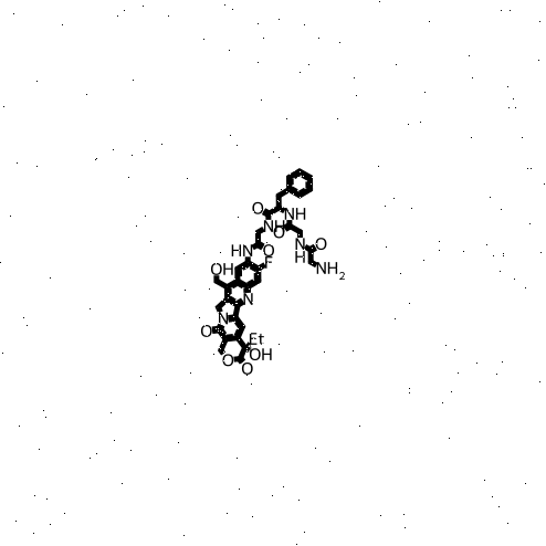 CC[C@@]1(O)C(=O)OCc2c1cc1n(c2=O)Cc2c-1nc1cc(F)c(NC(=O)CNC(=O)C(Cc3ccccc3)NC(=O)CNC(=O)CN)cc1c2CO